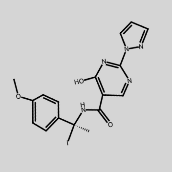 COc1ccc([C@](C)(I)NC(=O)c2cnc(-n3cccn3)nc2O)cc1